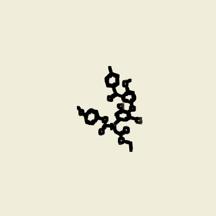 CCOC(=O)CN(C(=O)Oc1ccc(OC)cc1)c1cc(Cl)c(Oc2ccc(OC)c(C(=O)c3ccc(C)cc3)c2)c(Cl)c1